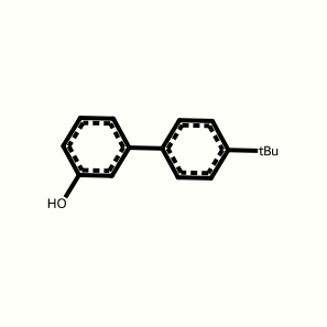 CC(C)(C)c1ccc(-c2cccc(O)c2)cc1